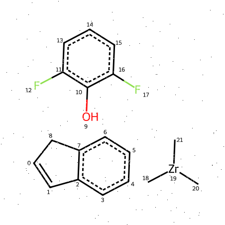 C1=Cc2ccccc2C1.Oc1c(F)cccc1F.[CH3][Zr]([CH3])[CH3]